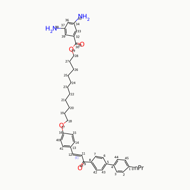 CCCc1ccc(-c2ccc(C(=O)/C=C/c3ccc(OCCCCCCCCCCCOC(=O)c4cc(N)cc(N)c4)cc3)cc2)cc1